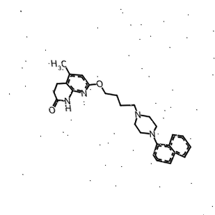 Cc1cc(OCCCCN2CCN(c3cccc4ccccc34)CC2)nc2c1CCC(=O)N2